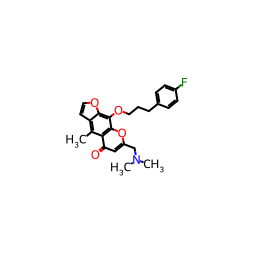 Cc1c2ccoc2c(OCCCc2ccc(F)cc2)c2oc(CN(C)C)cc(=O)c12